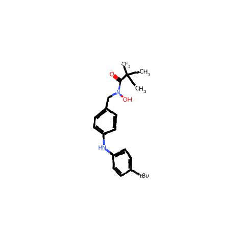 CC(C)(C)c1ccc(Nc2ccc(CN(O)C(=O)C(C)(C)C(F)(F)F)cc2)cc1